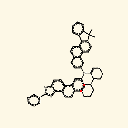 CC1(C)c2ccccc2-c2c1ccc1c2ccc2ccc(N(C3=CCCCC3C3C=CCCC3)c3ccc4ccc5c(ccc6nc(-c7ccccc7)sc65)c4c3)cc21